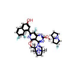 Oc1cc(-c2nc3c4c(nc(OC[C@]56CCCN5C[C@H](F)C6)nc4c2F)N2C[C@@H]4CC[C@@H](N4)[C@@H]2CO3)c2c(F)c(F)ccc2c1